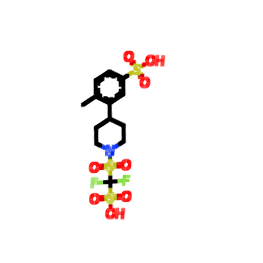 Cc1ccc(S(=O)(=O)O)cc1C1CCN(S(=O)(=O)C(F)(F)S(=O)(=O)O)CC1